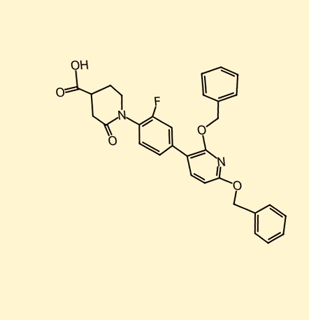 O=C(O)C1CCN(c2ccc(-c3ccc(OCc4ccccc4)nc3OCc3ccccc3)cc2F)C(=O)C1